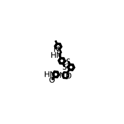 Cc1ccc(CNc2ccc3c(c2)Sc2cccc(C4CN(c5cc[nH]c(=O)c5)CCO4)c2S3)nc1